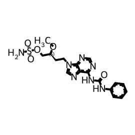 CO[C@@H](CCn1cnc2c(NC(=O)Nc3ccccc3)ncnc21)COS(N)(=O)=O